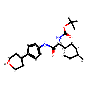 CC(C)(C)OC(=O)N[C@H](C(=O)Nc1ccc(C2CCOCC2)cc1)[C@H]1CC[C@H](C)CC1